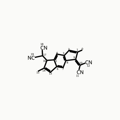 CC1=Cc2cc3c(cc2C1=C(C#N)C#N)C=C(C)C3C(C#N)C#N